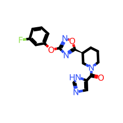 O=C(c1cnc[nH]1)N1CCC[C@H](c2nc(Oc3cccc(F)c3)no2)C1